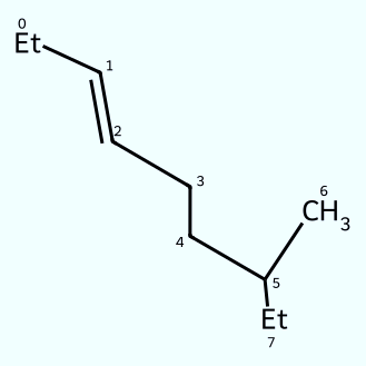 CCC=CCCC(C)CC